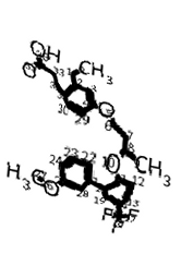 CCc1cc(OCCC(C)Oc2ccc(C(F)(F)F)cc2-c2cccc(OC)c2)ccc1CCC(=O)O